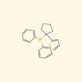 c1ccc(P(c2ccccc2)C2(c3cccs3)CCCC2)cc1